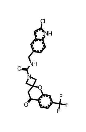 O=C1CC2(CN(C(=O)NCc3ccc4[nH]c(Cl)cc4c3)C2)Oc2cc(C(F)(F)F)ccc21